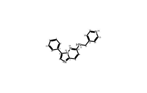 c1ccc(-c2cnc3ccc(NCc4ccncc4)nn23)cc1